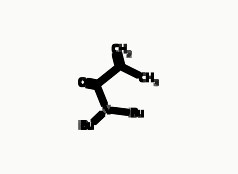 C=C(C)C(=O)N(C(C)CC)C(C)CC